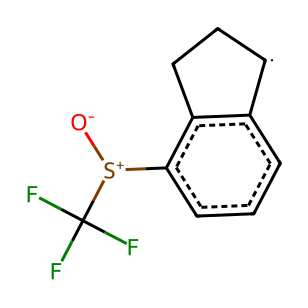 [O-][S+](c1cccc2c1CC[CH]2)C(F)(F)F